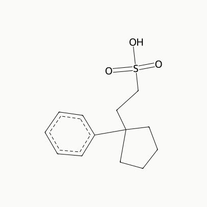 O=S(=O)(O)CCC1(c2ccccc2)CCCC1